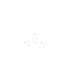 CC(=O)Nc1cc(-c2cccc(N3CCOCC3)n2)nc(-c2ccccn2)n1